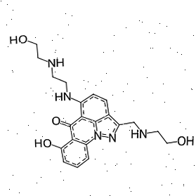 O=c1c2c(O)cccc2n2nc(CNCCO)c3ccc(NCCNCCO)c1c32